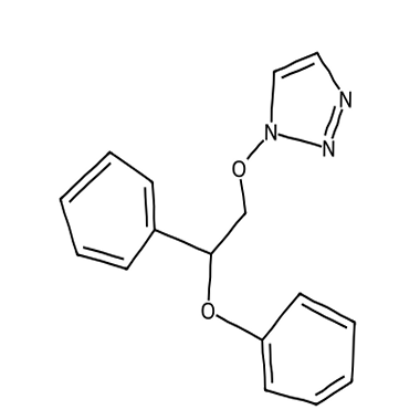 c1ccc(OC(COn2ccnn2)c2ccccc2)cc1